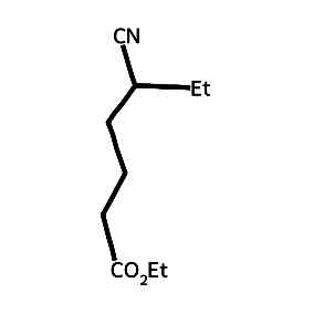 CCOC(=O)CCCC(C#N)CC